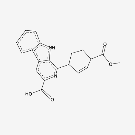 COC(=O)C1C=CC(c2nc(C(=O)O)cc3c2[nH]c2ccccc23)CC1